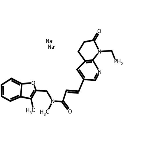 Cc1c(CN(C)C(=O)C=Cc2cnc3c(c2)CCC(=O)N3CP)oc2ccccc12.[Na].[Na]